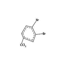 ClC(Cl)(Cl)c1ccc(Br)c(Br)c1